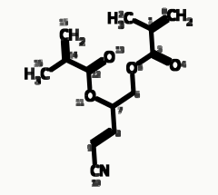 C=C(C)C(=O)OCC(C=CC#N)OC(=O)C(=C)C